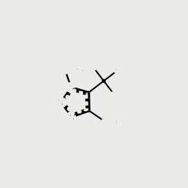 CCCCCCn1nnc(C(C)(C)C)c1C(F)(F)C(F)(F)F